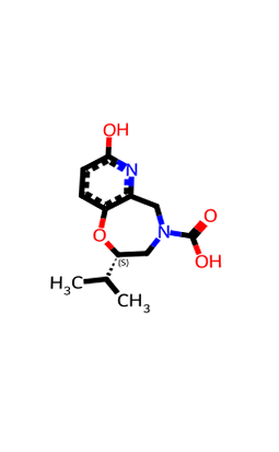 CC(C)[C@H]1CN(C(=O)O)Cc2nc(O)ccc2O1